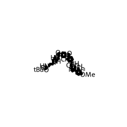 COc1ccc(-c2cnc(C(=O)Nc3ccc(C(=O)N4CCN(C(=O)N5C[C@H]6CN(CCCNC(=O)OC(C)(C)C)C[C@H]6C5)CC4)c(Cl)c3)n2C)c(F)c1F